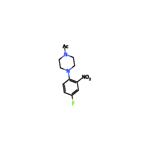 CC(=O)N1CCN(c2ccc(F)cc2[N+](=O)[O-])CC1